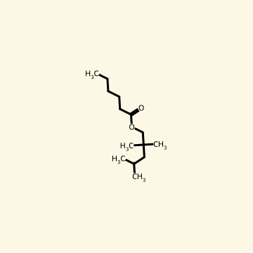 CCCCCC(=O)OCC(C)(C)C[C](C)C